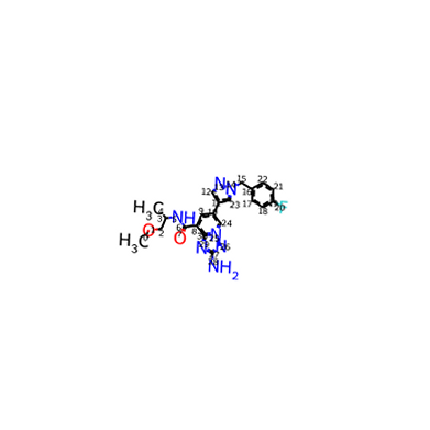 COCC(C)NC(=O)c1cc(-c2cnn(Cc3ccc(F)cc3)c2)cn2nc(N)nc12